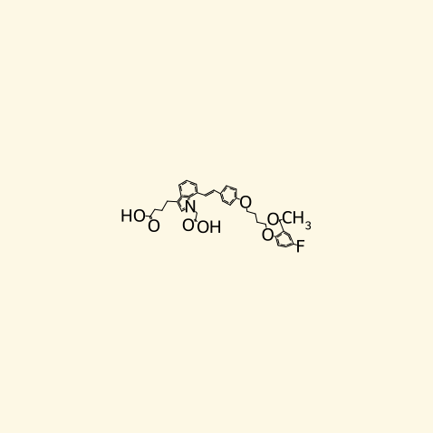 CC(=O)c1cc(F)ccc1OCCCCOc1ccc(/C=C/c2cccc3c(CCCC(=O)O)cn(CC(=O)O)c23)cc1